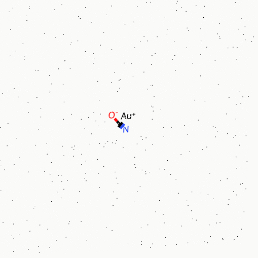 N#C[O-].[Au+]